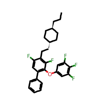 CCC[C@H]1CC[C@H](CCc2c(F)cc(-c3ccccc3)c(Oc3cc(F)c(F)c(F)c3)c2F)CC1